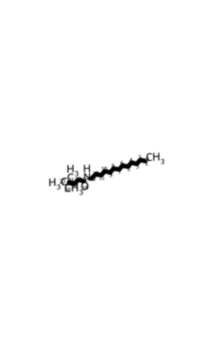 CCCCCCCCCCCCCCNC(=O)CCC(C)(C)C